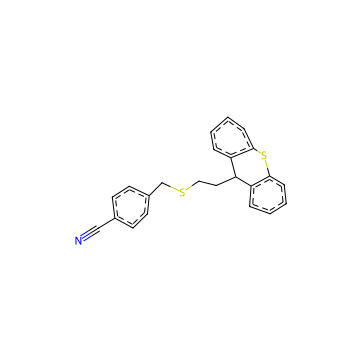 N#Cc1ccc(CSCCC2c3ccccc3Sc3ccccc32)cc1